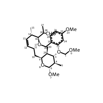 COCO[C@@H]1[C@@H](C)[C@H](OC)O[C@@H](CC/C=C\[C@H](C)[C@H](OCc2ccc(OC)cc2)[C@@H](C)C=O)[C@H]1C